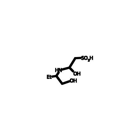 CCC(CO)NC(O)CS(=O)(=O)O